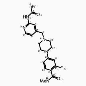 CCCC(=O)Nc1cc(CN2CCN(c3ccc(C(=O)NC)c(F)c3)CC2)ccn1